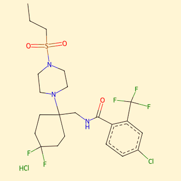 CCCS(=O)(=O)N1CCN(C2(CNC(=O)c3ccc(Cl)cc3C(F)(F)F)CCC(F)(F)CC2)CC1.Cl